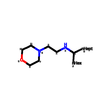 CCCCCCCC(CCCCCC)NCCN1CCOCC1